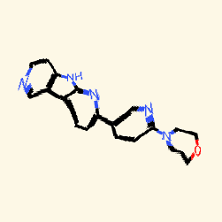 c1cc2[nH]c3nc(-c4ccc(N5CCOCC5)nc4)ccc3c2cn1